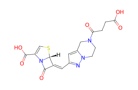 O=C(O)CCC(=O)N1CCn2nc(/C=C3/C(=O)N4C(C(=O)O)=CS[C@H]34)cc2C1